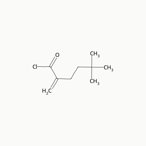 C=C(CCC(C)(C)C)C(=O)Cl